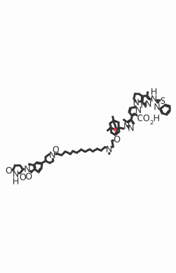 Cc1c(Nc2nc3ccccc3s2)nnc2c1CCCN2c1ccc(-c2cnn(CC34CC5(C)CC(C)(C3)CC(OCCN(C)CCCCCCCCCCCCC(=O)N3CCC(c6ccc7c(c6)CN(C6CCC(=O)NC6=O)C7=O)CC3)(C5)C4)c2C)c(C(=O)O)n1